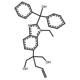 C=CCC(CO)(CO)c1ccc2nc(C(O)(c3ccccc3)c3ccccc3)n(CC)c2c1